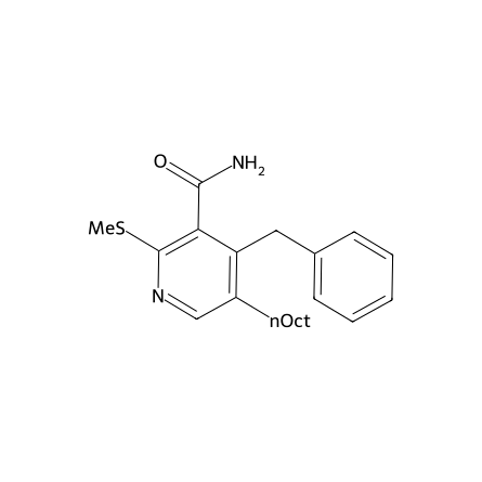 CCCCCCCCc1cnc(SC)c(C(N)=O)c1Cc1ccccc1